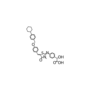 CN1C(=O)/C(=C/c2ccc(OCc3ccc(C4CCCCC4)cc3)cc2)S/C1=N/c1ccc(C(O)C(=O)O)cc1